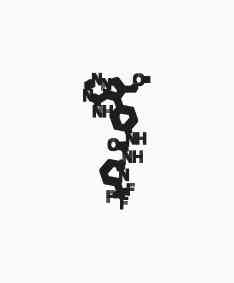 COCc1cn2ncnc(N)c2c1-c1ccc(NC(=O)Nc2cccc(C(F)(F)F)n2)cc1